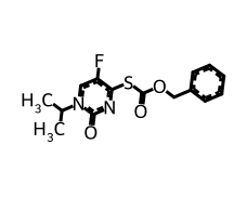 CC(C)n1cc(F)c(SC(=O)OCc2ccccc2)nc1=O